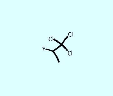 C[C](F)C(Cl)(Cl)Cl